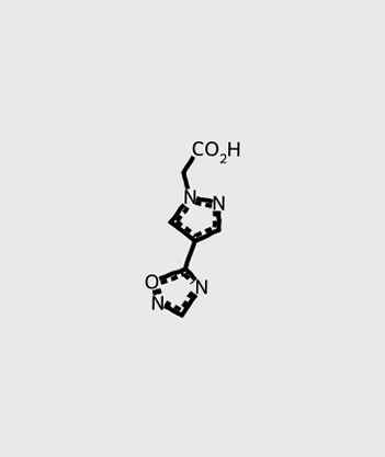 O=C(O)Cn1cc(-c2ncno2)cn1